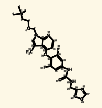 C[Si](C)(C)CCOCn1cc(C(F)(F)F)c2c(Oc3c(F)cc(NC(=O)NCc4ncon4)cc3F)ccnc21